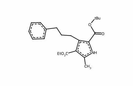 CCOC(=O)c1c(C)[nH]c(C(=O)OC(C)(C)C)c1CCCc1ccccc1